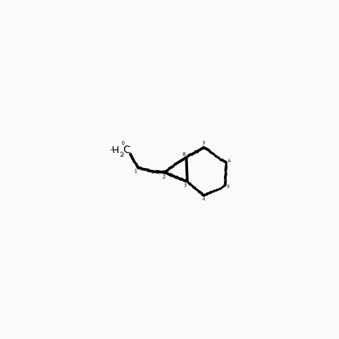 [CH2]CC1C2CCCCC12